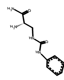 NC(=O)[C@@H](N)CNC(=O)Nc1ccccc1